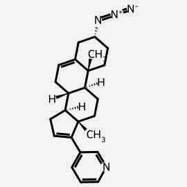 C[C@]12CC[C@@H](N=[N+]=[N-])CC1=CC[C@@H]1[C@@H]2CC[C@]2(C)C(c3cccnc3)=CC[C@@H]12